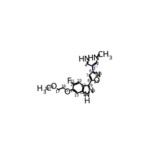 CN/C=C(\C=N)c1cc(-c2n[nH]c3cc(OCCOC)c(F)cc23)on1